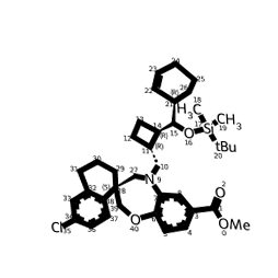 COC(=O)c1ccc2c(c1)N(C[C@@H]1CC[C@H]1C(O[Si](C)(C)C(C)(C)C)[C@H]1C=CCCC1)C[C@@]1(CCCc3cc(Cl)ccc31)CO2